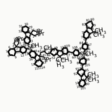 CC(C)CC1(CC(C)C)c2ccccc2-c2ccc([Si](C)(c3ccc4c(c3)C(CC(C)C)(CC(C)C)c3ccccc3-4)c3ccc4c(c3)C(CC(C)C)(CC(C)Cc3ccc5c(c3)C(C)(C)c3cc(-c6ccc([Si](C)(c7ccc(-c8ccc9c(c8)C(C)(C)c8ccccc8-9)cc7)c7ccc(-c8ccc9c(c8)C(C)(C)c8ccccc8-9)cc7)cc6)ccc3-5)c3ccccc3-4)cc21